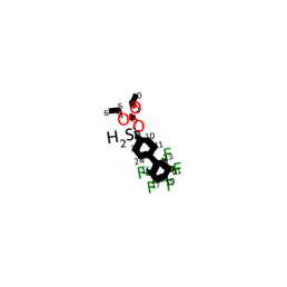 CCOC(OCC)O[SiH2]c1ccc(-c2c(F)c(F)c(F)c(F)c2F)cc1